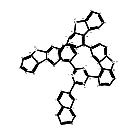 c1ccc(-c2nc(-c3ccc4ccccc4c3)nc(-c3cccc4oc5ccc(-c6cc(-c7ccc8c(c7)sc7ccccc78)cc7oc8ccccc8c67)cc5c34)n2)cc1